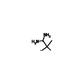 [CH2]C(C)(C)[C](N)N